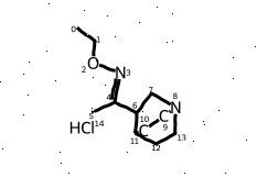 CCON=C(C)C1CN2CCC1CC2.Cl